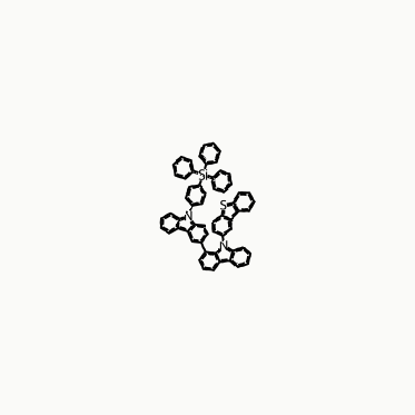 c1ccc([Si](c2ccccc2)(c2ccccc2)c2ccc(-n3c4ccccc4c4cc(-c5cccc6c7ccccc7n(-c7ccc8sc9ccccc9c8c7)c56)ccc43)cc2)cc1